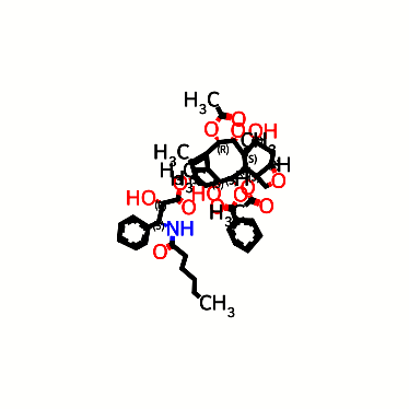 CCCCCC(=O)N[C@@H](c1ccccc1)[C@@H](O)C(=O)O[C@H]1C[C@@]2(O)[C@@H](OC(=O)c3ccccc3)[C@@H]3[C@]4(OC(C)=O)CO[C@@H]4C[C@H](O)[C@@]3(C)C(=O)[C@H](OC(C)=O)C(=C1C)C2(C)C